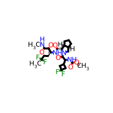 CNC(=O)C(=O)[C@H](CCC(C)(F)F)NC(=O)[C@@H]1[C@H]2CCC[C@H]2CN1C(=O)C(NC(=O)OC)C1CC(F)(F)C1